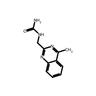 Cc1nc(CNC(N)=O)nc2ccccc12